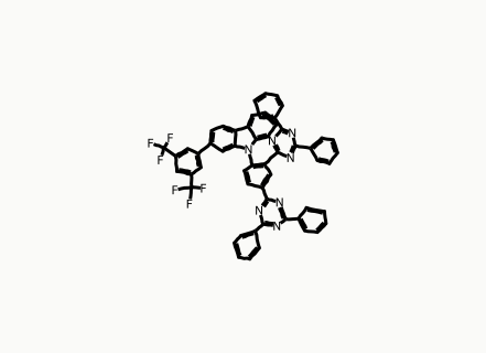 FC(F)(F)c1cc(-c2ccc3c4ccccc4n(-c4ccc(-c5nc(-c6ccccc6)nc(-c6ccccc6)n5)cc4-c4nc(-c5ccccc5)nc(-c5ccccc5)n4)c3c2)cc(C(F)(F)F)c1